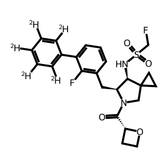 [2H]c1c([2H])c([2H])c(-c2cccc(C[C@H]3[C@@H](NS(=O)(=O)CF)C4(CC4)CN3C(=O)[C@H]3CCO3)c2F)c([2H])c1[2H]